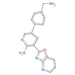 NCc1ccc(-c2cnc(N)c(-c3nc4ncccc4o3)c2)cc1